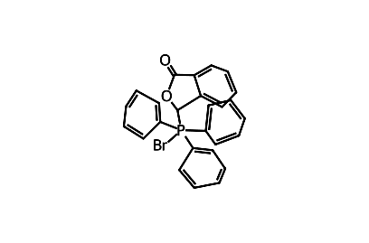 O=C1OC(P(Br)(c2ccccc2)(c2ccccc2)c2ccccc2)c2ccccc21